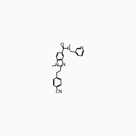 CN(Cc1cccnc1)C(=O)c1ccc2c(c1)nc(CCc1ccc(C#N)cc1)n2C